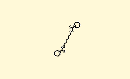 S=C(SSCCCCCCSSC(=S)N1CCCCCC1)N1CCCCCC1